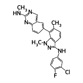 CNc1ncc2cc(-c3c(C)ccc4c(Nc5ccc(F)c(Cl)c5)nn(C)c34)ccc2n1